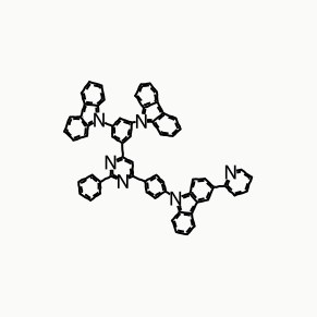 c1ccc(-c2nc(-c3ccc(-n4c5ccccc5c5cc(-c6ccccn6)ccc54)cc3)cc(-c3cc(-n4c5ccccc5c5ccccc54)cc(-n4c5ccccc5c5ccccc54)c3)n2)cc1